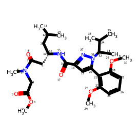 COC(=O)CN(C)C(=O)C[C@H](CC(C)C)NC(=O)c1cc(-c2c(OC)cccc2OC)n(C(C)C(C)C)n1